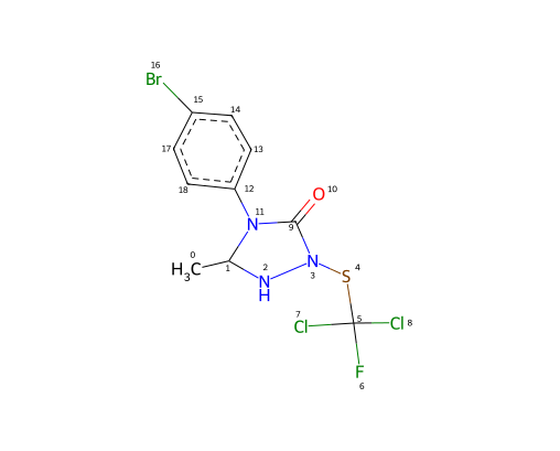 CC1NN(SC(F)(Cl)Cl)C(=O)N1c1ccc(Br)cc1